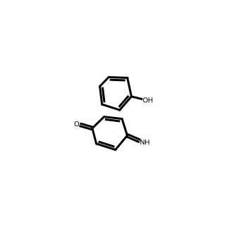 N=C1C=CC(=O)C=C1.Oc1ccccc1